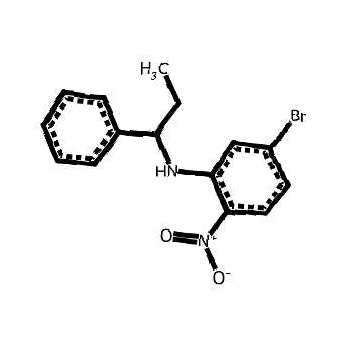 CCC(Nc1cc(Br)ccc1[N+](=O)[O-])c1ccccc1